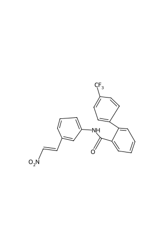 O=C(Nc1cccc(C=C[N+](=O)[O-])c1)c1ccccc1-c1ccc(C(F)(F)F)cc1